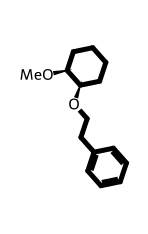 CO[C@H]1CCCC[C@H]1OCCc1ccccc1